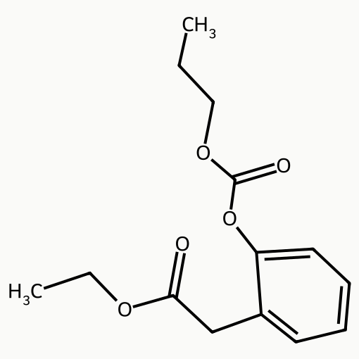 CCCOC(=O)Oc1ccccc1CC(=O)OCC